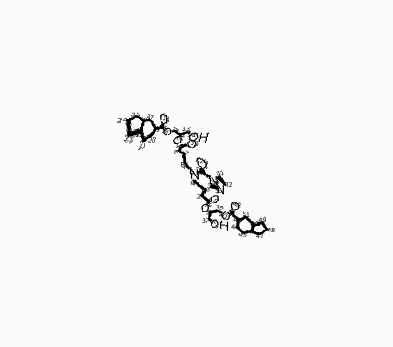 O=C(CCCN(CCCC(=O)OC(CO)COC(=O)C1CCC2CCCC2C1)C(=O)n1ccnc1)OC(CO)COC(=O)C1CCC2CCCC2C1